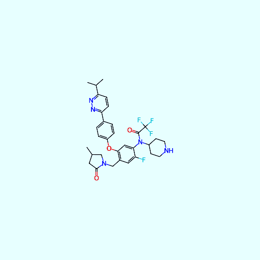 CC1CC(=O)N(Cc2cc(F)c(N(C(=O)C(F)(F)F)C3CCNCC3)cc2Oc2ccc(-c3ccc(C(C)C)nn3)cc2)C1